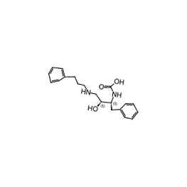 O=C(O)N[C@@H](Cc1ccccc1)[C@@H](O)CNCCCc1ccccc1